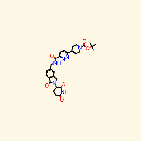 CC(C)(C)OC(=O)N1CC=C(c2ccc(C(=O)NCc3ccc4c(c3)CN(C3CCC(=O)NC3=O)C4=O)nn2)CC1